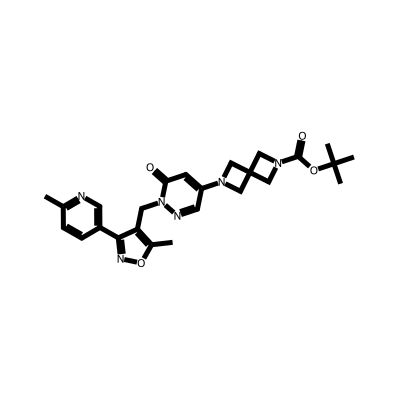 Cc1ccc(-c2noc(C)c2Cn2ncc(N3CC4(CN(C(=O)OC(C)(C)C)C4)C3)cc2=O)cn1